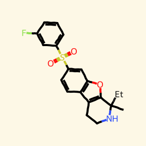 CCC1(C)NCCc2c1oc1cc(S(=O)(=O)c3cccc(F)c3)ccc21